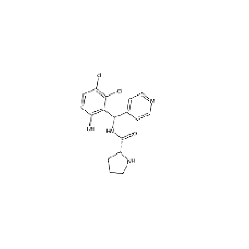 O=C(NC(c1ccncc1)c1c(O)ccc(Cl)c1Cl)[C@H]1CCCN1